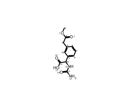 COC(=O)Cc1cccc(C(NC(N)=O)C(=O)O)c1